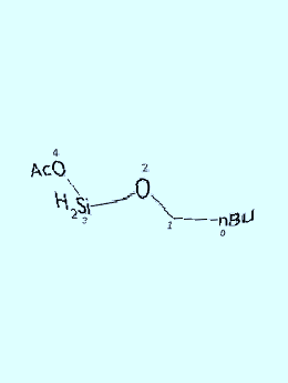 CCCCCO[SiH2]OC(C)=O